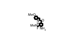 CNC(F)c1cc(C(=O)c2cc3cc(OC)ccc3[nH]2)ccc1N